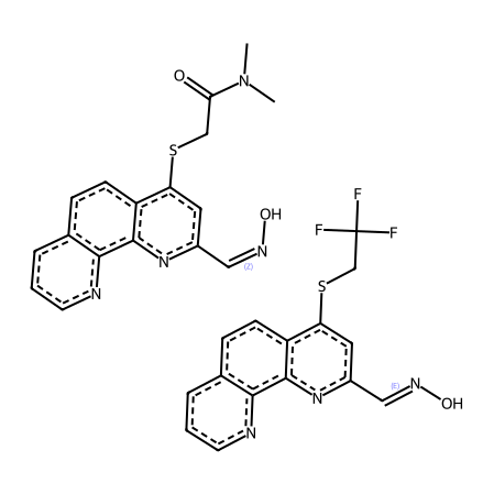 CN(C)C(=O)CSc1cc(/C=N\O)nc2c1ccc1cccnc12.O/N=C/c1cc(SCC(F)(F)F)c2ccc3cccnc3c2n1